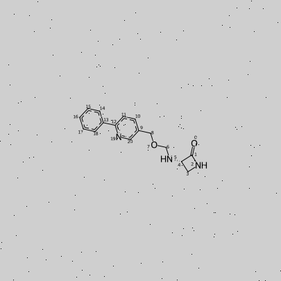 O=C1NC[C@@H]1NCOCc1ccc(-c2ccccc2)nc1